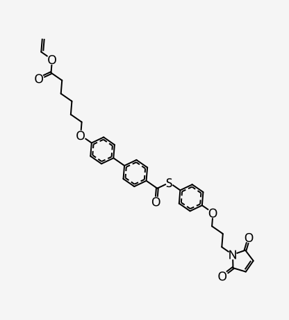 C=COC(=O)CCCCCOc1ccc(-c2ccc(C(=O)Sc3ccc(OCCCN4C(=O)C=CC4=O)cc3)cc2)cc1